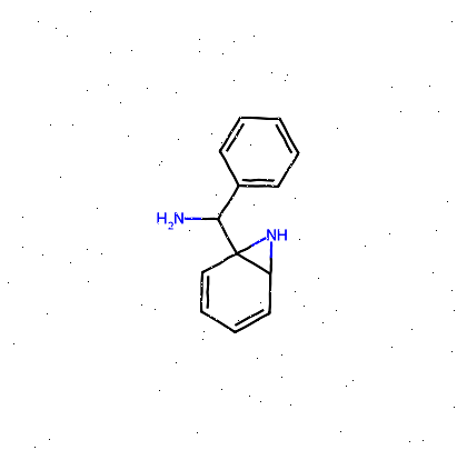 NC(c1ccccc1)C12C=CC=CC1N2